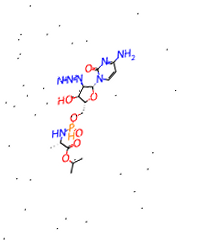 CC(C)OC(=O)[C@H](C)N[PH](=O)OC[C@H]1O[C@@H](n2ccc(N)nc2=O)[C@H](N=[N+]=[N-])[C@@H]1O